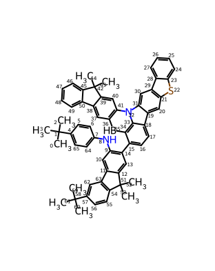 CC(C)(C)c1ccc(Nc2cc3c(cc2-c2ccc4c5cc6sc7ccccc7c6cc5n5c4c2Bc2cc4c(cc2-5)C(C)(C)c2ccccc2-4)C(C)(C)c2ccc(C(C)(C)C)cc2-3)cc1